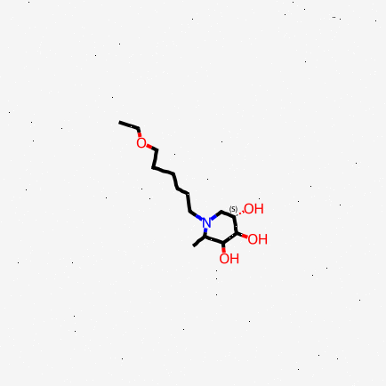 CCOCCCCCCN1C[C@H](O)C(O)C(O)C1C